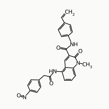 C=Cc1ccc(NC(=O)c2cc3c(NC(=O)Cc4ccc(N=O)cc4)cccc3n(C)c2=O)cc1